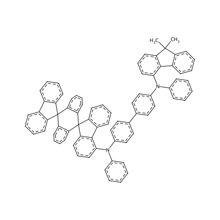 CC1(C)c2ccccc2-c2c(N(c3ccccc3)c3ccc(-c4ccc(N(c5ccccc5)c5cccc6c5-c5ccccc5C65c6ccccc6C6(c7ccccc7-c7ccccc76)c6ccccc65)cc4)cc3)cccc21